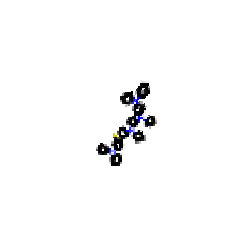 c1ccc(N(c2ccccc2)c2ccc3c(c2)sc2ccc(N(c4ccccc4)c4ccc5c6cc(N(c7ccccc7)c7ccccc7)ccc6n(-c6ccccc6)c5c4)cc23)cc1